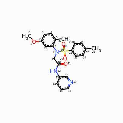 COc1ccc(C)c(N(CC(=O)Nc2cccnc2)S(=O)(=O)c2ccc(C)cc2)c1